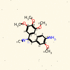 [C-]#[N+]/C(=C/c1ccc(N)c(OC)c1)c1cc(OC)c(OC)c(OC)c1